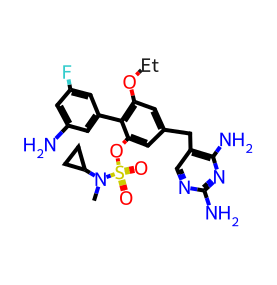 CCOc1cc(Cc2cnc(N)nc2N)cc(OS(=O)(=O)N(C)C2CC2)c1-c1cc(N)cc(F)c1